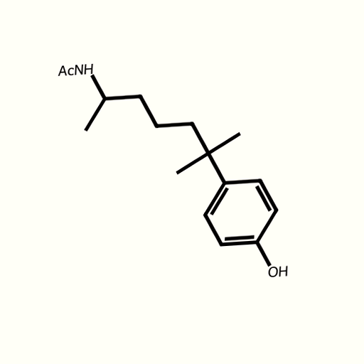 CC(=O)NC(C)CCCC(C)(C)c1ccc(O)cc1